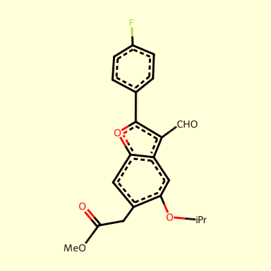 COC(=O)Cc1cc2oc(-c3ccc(F)cc3)c(C=O)c2cc1OC(C)C